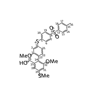 COc1cc(Sc2ccc(S(=O)(=O)c3ccc(C)cc3)cc2)ccc1-c1c(CO)cc(SC)cc1OC